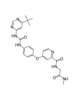 CNC(=O)CNC(=O)c1cc(Oc2ccc(NC(=O)Nc3cc(C(C)(C)C)ncn3)cc2)ccn1